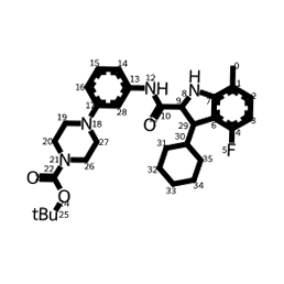 Cc1ccc(F)c2c1NC(C(=O)Nc1cccc(N3CCN(C(=O)OC(C)(C)C)CC3)c1)C2C1CCCCC1